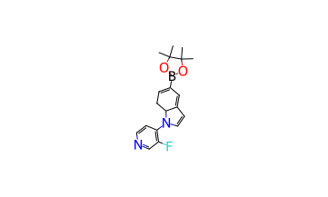 CC1(C)OB(C2=CCC3C(=C2)C=CN3c2ccncc2F)OC1(C)C